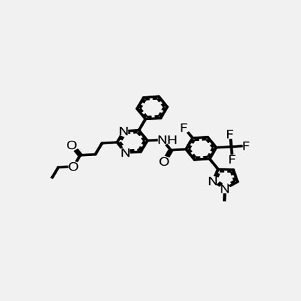 CCOC(=O)CCc1ncc(NC(=O)c2cc(-c3ccn(C)n3)c(C(F)(F)F)cc2F)c(-c2ccccc2)n1